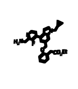 CCOC(=O)Cc1ccccc1OCc1cc(-c2ccnc(CN)c2F)c2ccn(CC3CC3)c2c1